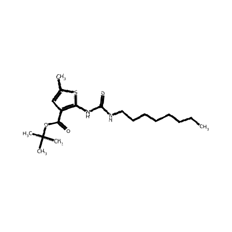 CCCCCCCCNC(=O)Nc1sc(C)cc1C(=O)OC(C)(C)C